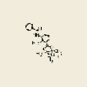 Cc1c(NC(=O)c2ccccc2)cccc1B1OC(C)(C)C(C)(C)O1